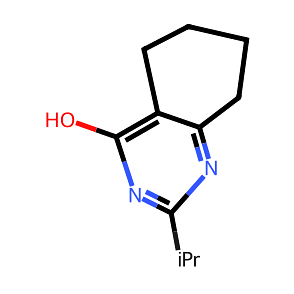 CC(C)c1nc(O)c2c(n1)CCCC2